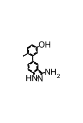 Cc1ccc(O)cc1-c1ccc2[nH]nc(N)c2c1